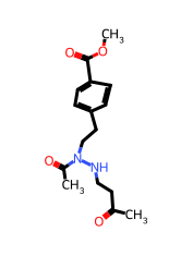 COC(=O)c1ccc(CCN(NCCC(C)=O)C(C)=O)cc1